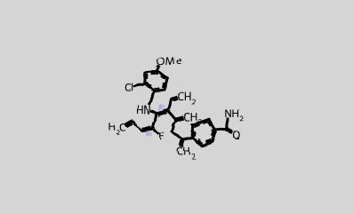 C=C/C=C(F)\C(Nc1ccc(OC)cc1Cl)=C(\C=C)C(=C)CC(=C)c1ccc(C(N)=O)cc1